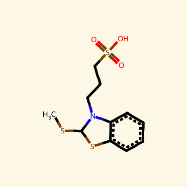 CSC1Sc2ccccc2N1CCCS(=O)(=O)O